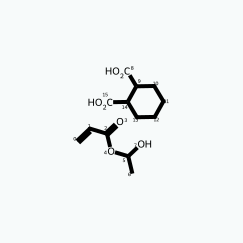 C=CC(=O)OC(C)O.O=C(O)C1CCCCC1C(=O)O